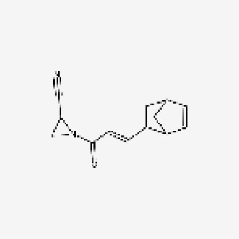 N#CC1CN1C(=O)C=CC1CC2C=CC1C2